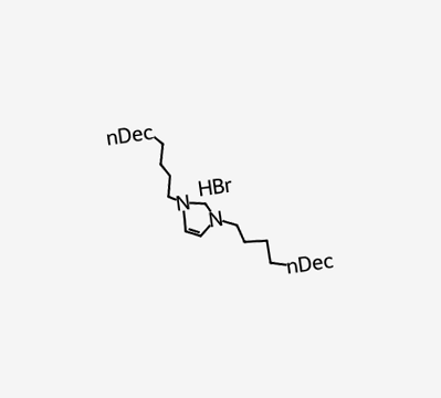 Br.CCCCCCCCCCCCCCN1C=CN(CCCCCCCCCCCCCC)C1